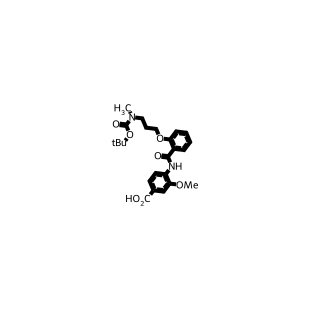 COc1cc(C(=O)O)ccc1NC(=O)c1ccccc1OCCCN(C)C(=O)OC(C)(C)C